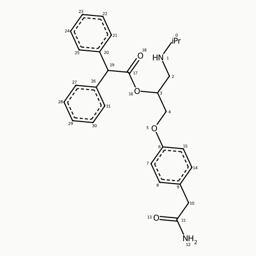 CC(C)NCC(COc1ccc(CC(N)=O)cc1)OC(=O)C(c1ccccc1)c1ccccc1